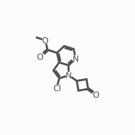 COC(=O)c1ccnc2c1cc(Cl)n2C1CC(=O)C1